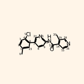 Cc1ccc(Cl)c(-c2ccc(NC(=O)c3ccncc3C)nc2)c1